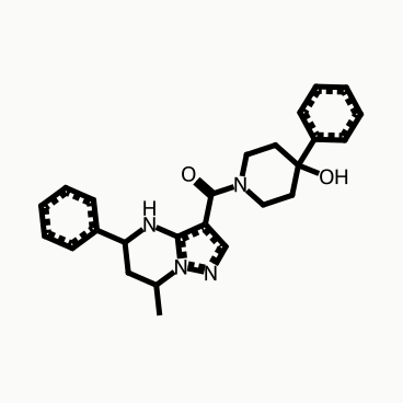 CC1CC(c2ccccc2)Nc2c(C(=O)N3CCC(O)(c4ccccc4)CC3)cnn21